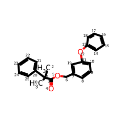 CC(C)(C(=O)OCc1cccc(Oc2ccccc2)c1)c1ccccc1